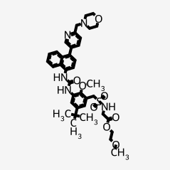 COCCOC(=O)CNS(=O)(=O)Cc1cc(C(C)(C)C)cc(NC(=O)Nc2ccc(-c3ccc(CN4CCOCC4)nc3)c3ccccc23)c1OC